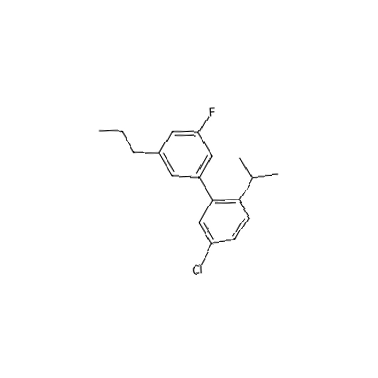 CCCc1cc(F)cc(-c2cc(Cl)ccc2C(C)C)c1